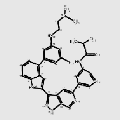 CC(C)C(=O)Nc1cncc(-c2cc3c(-c4cc5c(-c6cc(F)cc(NCCN(C)C)c6)cccc5[nH]4)n[nH]c3cn2)c1